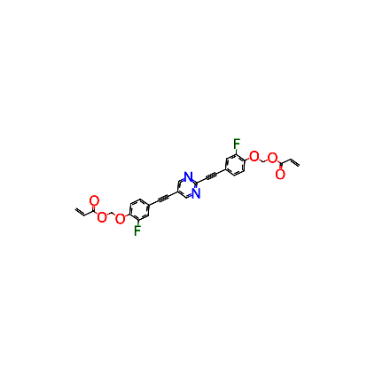 C=CC(=O)OCOc1ccc(C#Cc2cnc(C#Cc3ccc(OCOC(=O)C=C)c(F)c3)nc2)cc1F